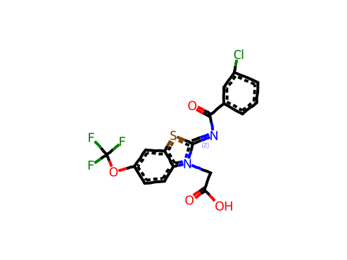 O=C(O)Cn1/c(=N/C(=O)c2cccc(Cl)c2)sc2cc(OC(F)(F)F)ccc21